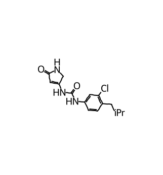 CC(C)Cc1ccc(NC(=O)NC2=CC(=O)NC2)cc1Cl